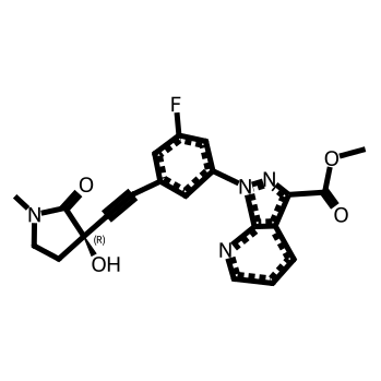 COC(=O)c1nn(-c2cc(F)cc(C#C[C@]3(O)CCN(C)C3=O)c2)c2ncccc12